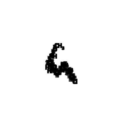 CCOCCCNCc1ccc(NC(=O)Nc2cccc(-c3cn4ccnc4c(-n4cnc(-c5ccc(Cl)cc5)c4)n3)c2)cc1